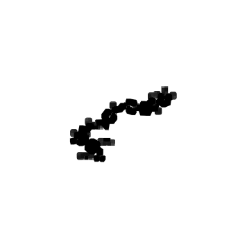 COc1cc(-c2cn(C)c(=O)c3cc(C(=O)NCC4CC45CCN(C(=O)CCN4CCN(c6ccc7c(c6)C(=O)N(C6CCC(=O)NC6=O)C7=O)CC4)CC5)sc23)cc(OC)c1CN(C)C